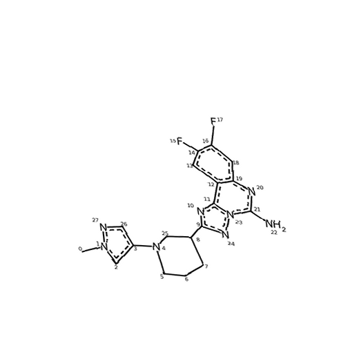 Cn1cc(N2CCCC(c3nc4c5cc(F)c(F)cc5nc(N)n4n3)C2)cn1